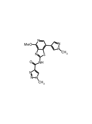 COc1ncc(-c2cnn(C)c2)c2sc(NC(=O)c3cn(C)nn3)nc12